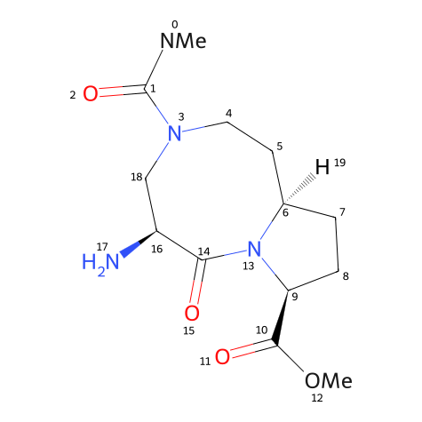 CNC(=O)N1CC[C@H]2CC[C@@H](C(=O)OC)N2C(=O)[C@@H](N)C1